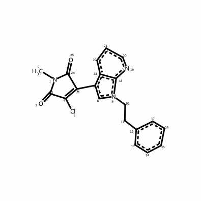 CN1C(=O)C(Cl)=C(c2cn(CCc3ccccc3)c3ncccc23)C1=O